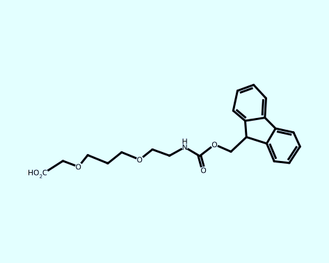 O=C(O)COCCCOCCNC(=O)OCC1c2ccccc2-c2ccccc21